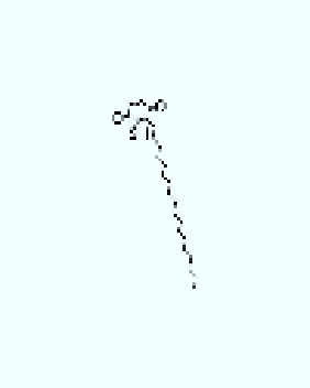 CCCCCCCCCCCCCCCCCCC1=C(S)C(=O)C=CC1=O